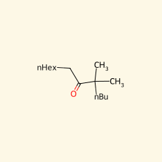 CCCCCCCC(=O)C(C)(C)CCCC